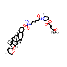 CNC(=O)CCC(=O)O[C@@H]1C[C@@H](C)N(C(=O)CCCCCNC(=O)O[C@H]2CC[C@@]3(C)C(=CC[C@H]4[C@@H]5C[C@@H]6O[C@]7(CC[C@@H](C)CO7)[C@@H](C)[C@@H]6[C@@]5(C)CC[C@@H]43)C2)C1